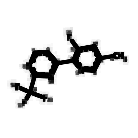 Cc1cnc(-c2ccnc(C(F)(F)F)n2)c(F)c1